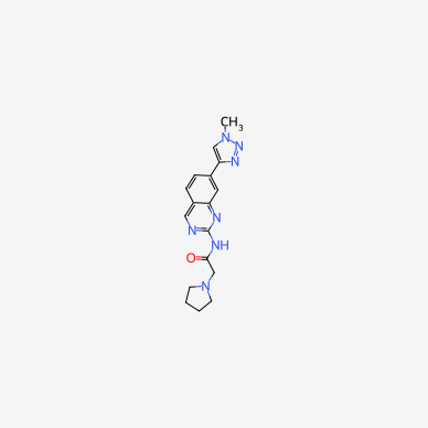 Cn1cc(-c2ccc3cnc(NC(=O)CN4CCCC4)nc3c2)nn1